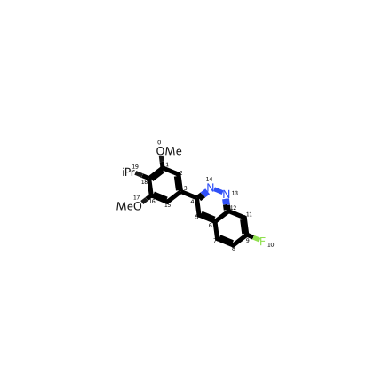 COc1cc(-c2cc3ccc(F)cc3nn2)cc(OC)c1C(C)C